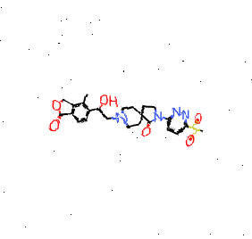 Cc1c([C@@H](O)CN2CCC3(CC2)CCN(c2ccc(S(C)(=O)=O)nn2)C3=O)ccc2c1COC2=O